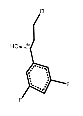 O[C@H](CCCl)c1cc(F)cc(F)c1